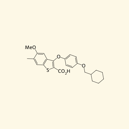 COc1cc2c(Oc3ccc(OCC4CCCCC4)cc3)c(C(=O)O)sc2cc1C